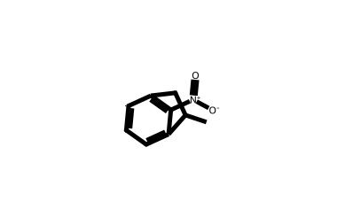 CC1Cc2[c]ccc1c2[N+](=O)[O-]